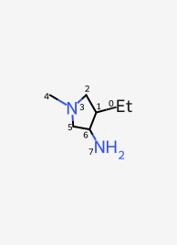 CCC1CN(C)CC1N